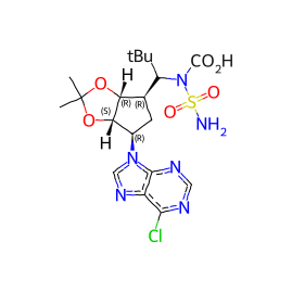 CC1(C)O[C@@H]2[C@H](O1)[C@@H](C(N(C(=O)O)S(N)(=O)=O)C(C)(C)C)C[C@H]2n1cnc2c(Cl)ncnc21